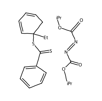 CC(C)OC(=O)N=NC(=O)OC(C)C.CCC1(SC(=S)c2ccccc2)C=CC=CC1